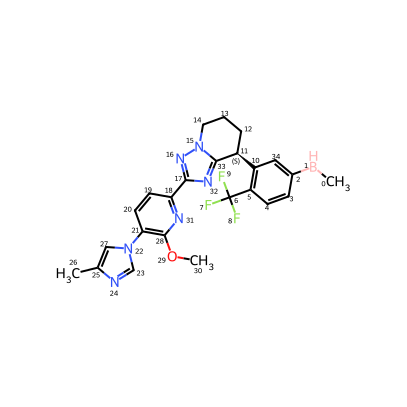 CBc1ccc(C(F)(F)F)c([C@@H]2CCCn3nc(-c4ccc(-n5cnc(C)c5)c(OC)n4)nc32)c1